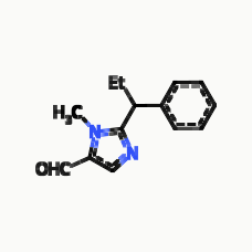 CCC(c1ccccc1)c1ncc(C=O)n1C